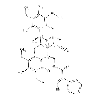 COc1c(C)c(OC)c2c(c1O)[C@H]1[C@@H]3Cc4c(OC)c(C)c(CO)c(O)c4[C@H](CNC(=O)c4c[nH]c5ccccc45)N3[C@@H](C#N)[C@H](C2)N1C